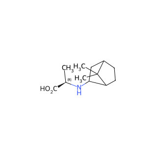 C[C@@H](NC1CC2CCC1C2(C)C)C(=O)O